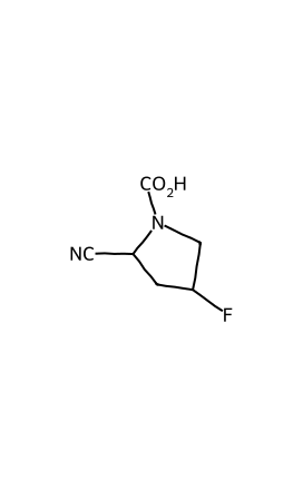 N#CC1CC(F)CN1C(=O)O